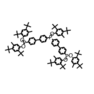 Cc1cc(OP(Oc2cc(C)c(C(C)(C)C)cc2C(C)(C)C)c2ccc(-c3ccc(P(Oc4cc(C)c(C(C)(C)C)cc4C(C)(C)C)c4ccc(-c5ccc(P(Oc6cc(C)c(C(C)(C)C)cc6C(C)(C)C)Oc6cc(C)c(C(C)(C)C)cc6C(C)(C)C)cc5)cc4)cc3)cc2)c(C(C)(C)C)cc1C(C)(C)C